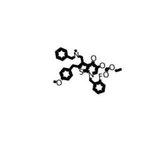 CCOC(=O)Oc1cn(Cc2ccccc2F)c2sc(Cc3ccc(OC)cc3)c(CN(C)Cc3ccccc3)c2c1=O